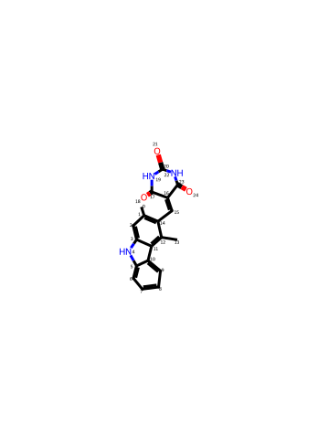 Cc1cc2[nH]c3ccccc3c2c(C)c1C=C1C(=O)NC(=O)NC1=O